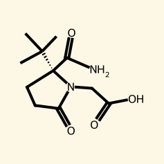 CC(C)(C)[C@@]1(C(N)=O)CCC(=O)N1CC(=O)O